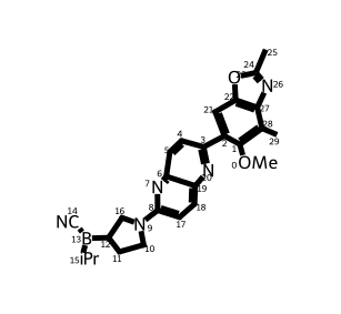 COc1c(-c2ccc3nc(N4CCC(B(C#N)C(C)C)C4)ccc3n2)cc2oc(C)nc2c1C